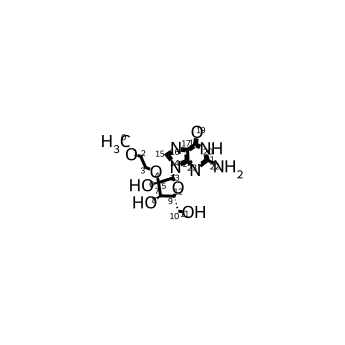 COCCO[C@@]1(O)[C@H](O)[C@@H](CO)O[C@H]1n1cnc2c(=O)[nH]c(N)nc21